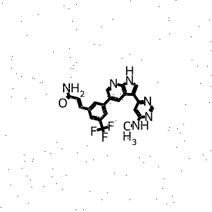 CNc1cc(-c2c[nH]c3ncc(-c4cc(C=CC(N)=O)cc(C(F)(F)F)c4)cc23)ncn1